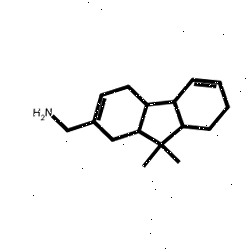 CC1(C)C2CCC=CC2C2CC=C(CN)CC21